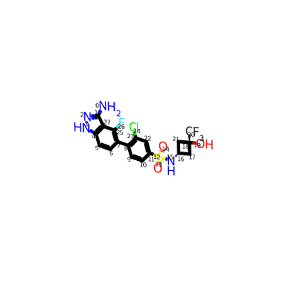 Nc1n[nH]c2ccc(-c3ccc(S(=O)(=O)N[C@H]4C[C@](O)(C(F)(F)F)C4)cc3Cl)c(F)c12